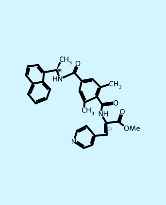 COC(=O)/C(=C/c1ccncc1)NC(=O)c1c(C)cc(C(=O)N[C@H](C)c2cccc3ccccc23)cc1C